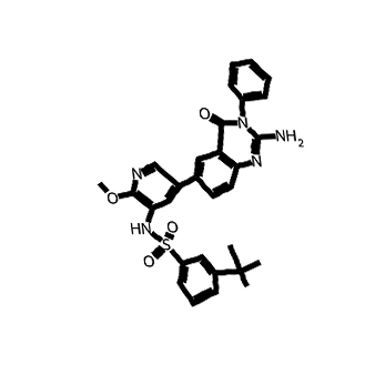 COc1ncc(-c2ccc3nc(N)n(-c4ccccc4)c(=O)c3c2)cc1NS(=O)(=O)c1cccc(C(C)(C)C)c1